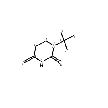 C=C1CCN(C(C)(C)C)C(=O)N1